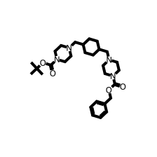 CC(C)(C)OC(=O)N1CCN(CC2CCC(CN3CCN(C(=O)OCc4ccccc4)CC3)CC2)CC1